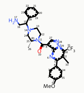 COc1ccc(-c2nc3c(C(=O)N4CCN(C(CN)c5ccccc5)C[C@H]4C)cnn3c(C(F)(F)F)c2C)cc1